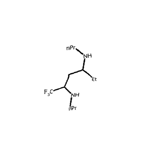 CCCNC(CC)CC(NCCC)C(F)(F)F